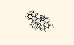 CN[C@@]12C(=O)C(C(N)=O)=C(O)[C@@H](N(C)C)[C@H]1C(OC)[C@H]1C(=C2O)C(=O)c2c(O)cccc2[C@@H]1C